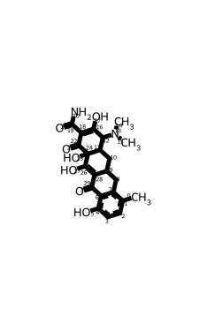 Cc1ccc(O)c2c1CC1CC3C(N(C)C)C(O)=C(C(N)=O)C(=O)C3(O)C(O)=C1C2=O